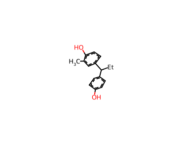 CCC(c1ccc(O)cc1)c1ccc(O)c(C)c1